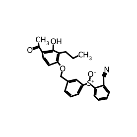 CCCc1c(OCc2cccc([S+]([O-])c3ccccc3C#N)c2)ccc(C(C)=O)c1O